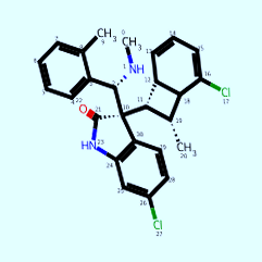 CN[C@@H](c1ccccc1C)[C@]1([C@@H]2C3C=CC=C(Cl)C3[C@@H]2C)C(=O)Nc2cc(Cl)ccc21